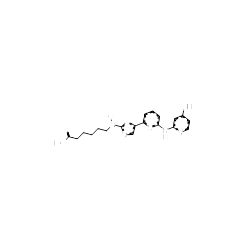 Cc1ccnc(Nc2cccc(-c3cnc(N(C)CCCCCC(=O)O)s3)n2)c1